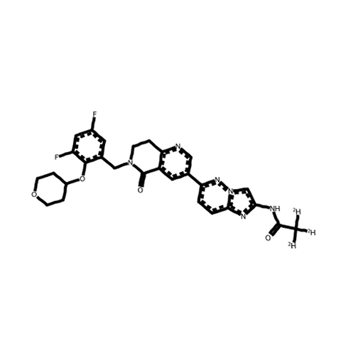 [2H]C([2H])([2H])C(=O)Nc1cn2nc(-c3cnc4c(c3)C(=O)N(Cc3cc(F)cc(F)c3OC3CCOCC3)CC4)ccc2n1